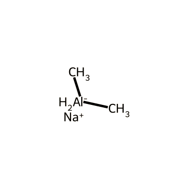 [CH3][AlH2-][CH3].[Na+]